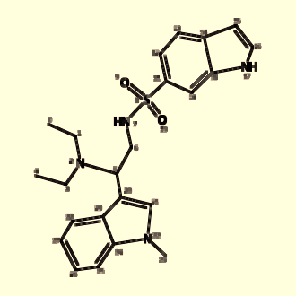 CCN(CC)C(CNS(=O)(=O)c1ccc2cc[nH]c2c1)c1cn(C)c2ccccc12